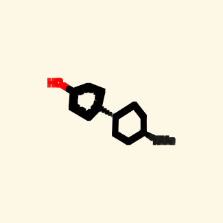 CN[C@H]1CC[C@H](c2ccc(O)cc2)CC1